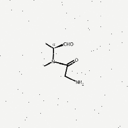 C[C@@H]([C]=O)N(C)C(=O)CN